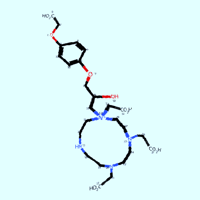 O=C(O)COc1ccc(OCC(O)C[N+]2(CC(=O)O)CCNCCN(CC(=O)O)CCN(CC(=O)O)CC2)cc1